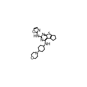 c1coc(Nc2nc(NC3CCC(N4CCOCC4)CC3)c3c4c(sc3n2)CCC4)n1